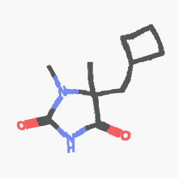 CN1C(=O)NC(=O)C1(C)CC1CCC1